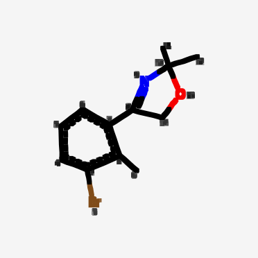 Cc1c(Br)cccc1C1=NC(C)(C)OC1